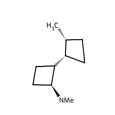 CN[C@H]1CCC1[C@H]1CC[C@H]1C